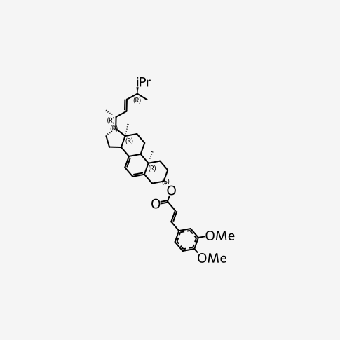 COc1ccc(C=CC(=O)O[C@H]2CC[C@@]3(C)C(=CC=C4C3CC[C@@]3(C)C4CC[C@@H]3[C@H](C)C=C[C@H](C)C(C)C)C2)cc1OC